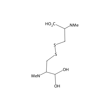 CNC(CSSCC(NC)C(O)O)C(=O)O